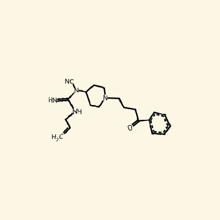 C=CCNC(=N)N(C#N)C1CCN(CCCC(=O)c2ccccc2)CC1